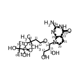 CCC(O)(CC)P(=O)(O)OC(C)(C)CCO[C@@H]([C@H](O)CO)n1ccc2c(=O)[nH]c(N)nc21